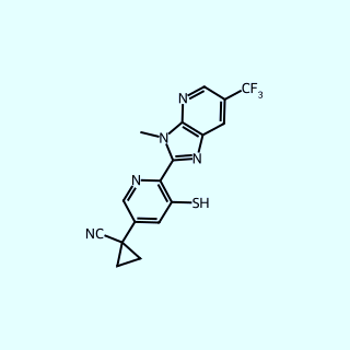 Cn1c(-c2ncc(C3(C#N)CC3)cc2S)nc2cc(C(F)(F)F)cnc21